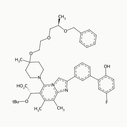 Cc1c([C@H](OC(C)(C)C)C(=O)O)c(N2CCC(C)(OCCOC[C@@H](C)OCc3ccccc3)CC2)n2cc(-c3cccc(-c4cc(F)ccc4O)c3)nc2c1C